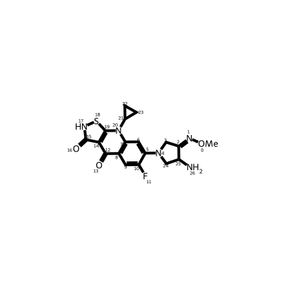 CO/N=C1/CN(c2cc3c(cc2F)c(=O)c2c(=O)[nH]sc2n3C2CC2)CC1N